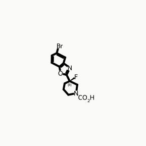 O=C(O)N1CCC[C@](F)(c2nc3cc(Br)ccc3o2)C1